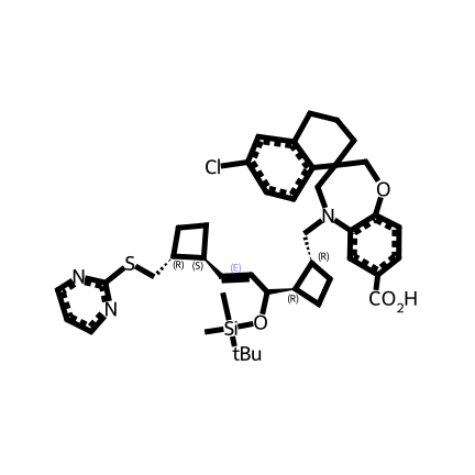 CC(C)(C)[Si](C)(C)OC(/C=C/[C@@H]1CC[C@H]1CSc1ncccn1)[C@@H]1CC[C@H]1CN1CC2(CCCc3cc(Cl)ccc32)COc2ccc(C(=O)O)cc21